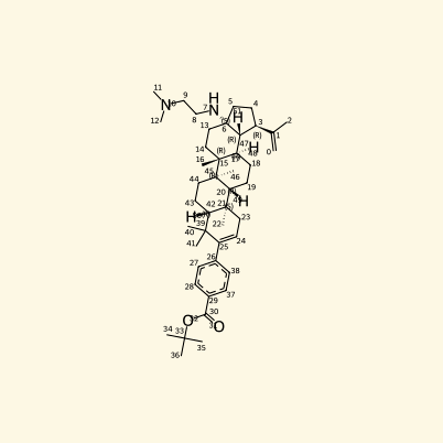 C=C(C)[C@@H]1CC[C@]2(NCCN(C)C)CC[C@]3(C)[C@H](CC[C@@H]4[C@@]5(C)CC=C(c6ccc(C(=O)OC(C)(C)C)cc6)C(C)(C)[C@@H]5CC[C@]43C)[C@@H]12